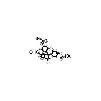 CC(C)(C)C(=O)Oc1ccc2c(c1)Oc1cc(OC(=O)C(C)(C)C)ccc1C21OC(=O)c2ccc(C=O)cc21